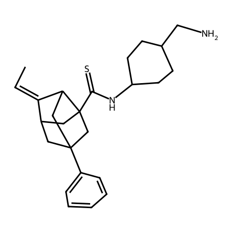 C/C=C1/C2CC3(c4ccccc4)CC1C(C(=S)NC1CCC(CN)CC1)(C2)C3